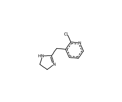 Clc1ncccc1CC1=NCCN1